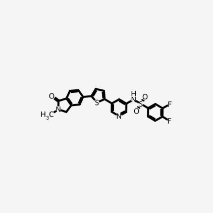 CN1Cc2cc(-c3ccc(-c4cncc(NS(=O)(=O)c5ccc(F)c(F)c5)c4)s3)ccc2C1=O